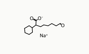 O=CCCCCCC(C(=O)[O-])C1CCCCC1.[Na+]